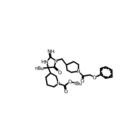 CCCCC1(C2CCCN(C(=O)OC(C)(C)C)C2)NC(=N)N(CC2CCN(C(=O)COc3ccccc3)CC2)C1=O